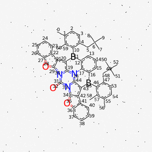 Cc1ccc(CC(C)(C)C)c(B2c3cccc4c3-n3c5c2c2c6ccccc6oc2n5c(=O)n2c5oc6ccccc6c5c(c32)B4c2c(CC(C)(C)C)ccc(C)c2C)c1C